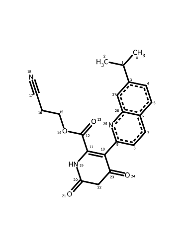 CC(C)c1ccc2ccc(C3=C(C(=O)OCCC#N)NC(=O)CC3=O)nc2c1